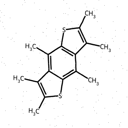 Cc1sc2c(C)c3c(C)c(C)sc3c(C)c2c1C